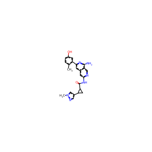 Cc1ccc(O)cc1-c1cc2cc(NC(=O)C3CC3c3cnn(C)c3)ncc2c(N)n1